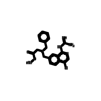 CCCCOC(=O)CN(Cc1ccccc1)Cc1ccc2c(Cl)cnc(NC(=N)N)c2c1